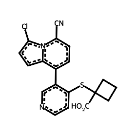 N#Cc1ccc(-c2cnccc2SC2(C(=O)O)CCC2)c2ccc(Cl)n12